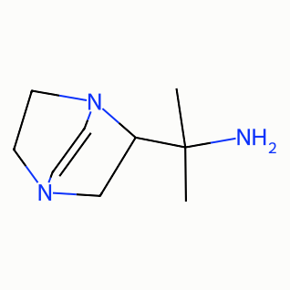 CC(C)(N)C1CN2C=CN1CC2